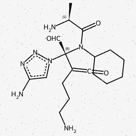 C[C@H](N)C(=O)N(C1CCCCC1)[C@]([C]=O)(C(=C=O)CCCN)n1cc(N)nn1